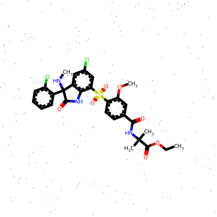 CCOC(=O)C(C)(C)NC(=O)c1ccc(S(=O)(=O)c2cc(Cl)cc3c2NC(=O)C3(NC)c2ccccc2Cl)c(OC)c1